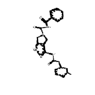 Cc1cccc(CC(=O)Nc2n[nH]c3c2CN(C(=O)NC(=O)c2ccccc2)C3)c1